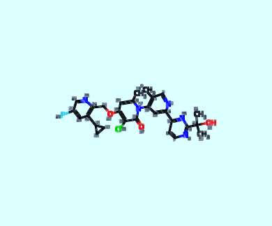 Cc1cnc(-c2ccnc(C(C)(C)O)n2)cc1-n1c(C)cc(OCc2ncc(F)cc2C2CC2)c(Cl)c1=O